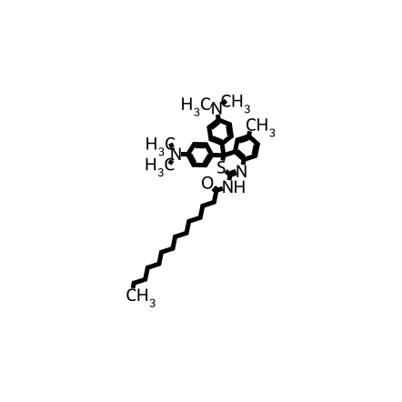 CCCCCCCCCCCCCC(=O)NC1=Nc2ccc(C)cc2C(c2ccc(N(C)C)cc2)(c2ccc(N(C)C)cc2)S1